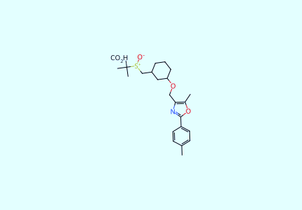 Cc1ccc(-c2nc(COC3CCCC(C[S+]([O-])C(C)(C)C(=O)O)C3)c(C)o2)cc1